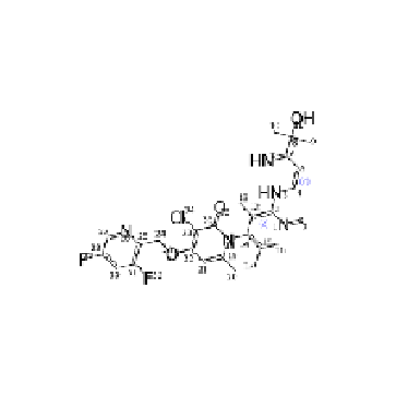 C=N/C(N/C=C\C(=N)C(C)(C)O)=C(/C)C(=C(C)C)n1c(C)cc(OCc2ncc(F)cc2F)c(Cl)c1=O